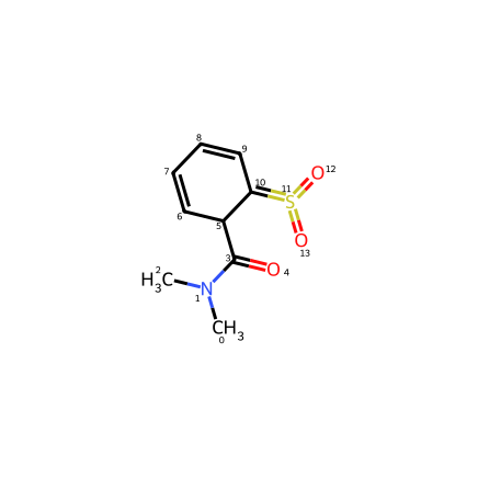 CN(C)C(=O)C1C=CC=CC1=S(=O)=O